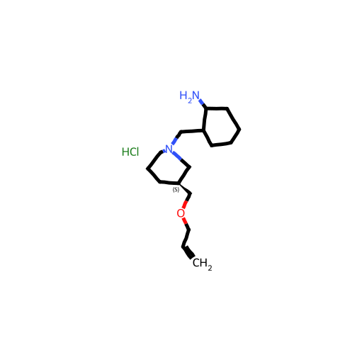 C=CCOC[C@H]1CCCN(CC2CCCCC2N)C1.Cl